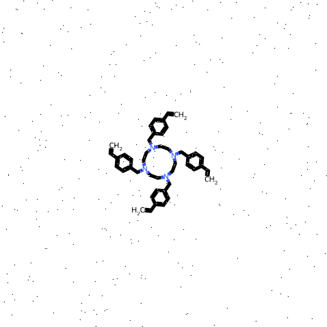 C=Cc1ccc(CN2CCN(Cc3ccc(C=C)cc3)CCN(Cc3ccc(C=C)cc3)CCN(Cc3ccc(C=C)cc3)CC2)cc1